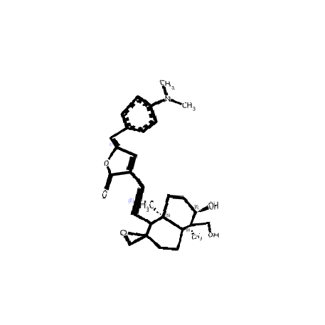 CN(C)c1ccc(/C=C2C=C(/C=C/C3C4(CCC5[C@]3(C)CC[C@@H](O)[C@@]5(C)CO)CO4)C(=O)O\2)cc1